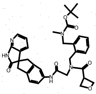 CN(Cc1ccccc1CN(CC(=O)Nc1ccc2c(c1)CC1(C2)C(=O)Nc2ncccc21)C(=O)C1COC1)C(=O)OC(C)(C)C